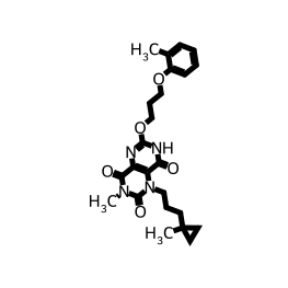 Cc1ccccc1OCCCOc1nc2c(=O)n(C)c(=O)n(CCCC3(C)CC3)c2c(=O)[nH]1